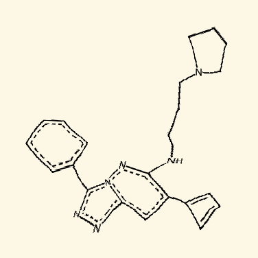 C1=CC(c2cc3nnc(-c4ccccc4)n3nc2NCCCN2CCCC2)=C1